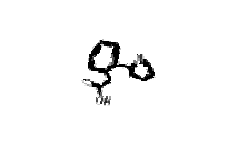 O=C(O)Cc1ccccc1-c1ccccn1